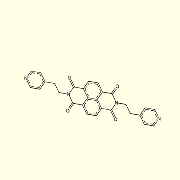 O=C1c2ccc3c4c(ccc(c24)C(=O)N1CCc1ccncc1)C(=O)N(CCc1ccncc1)C3=O